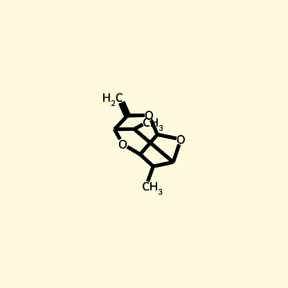 C=C1OC2OC3C(C)C1OC2C3C